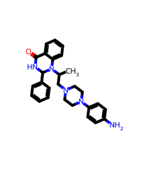 CC(CN1CCN(c2ccc(N)cc2)CC1)N1c2ccccc2C(=O)NC1c1ccccc1